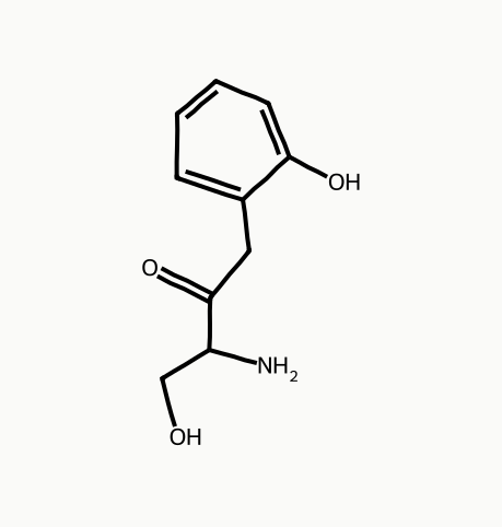 NC(CO)C(=O)Cc1ccccc1O